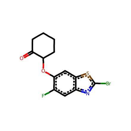 O=C1CCCCC1Oc1cc2sc(Br)nc2cc1F